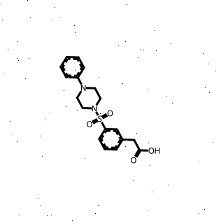 O=C(O)Cc1cccc(S(=O)(=O)N2CCN(c3ccccc3)CC2)c1